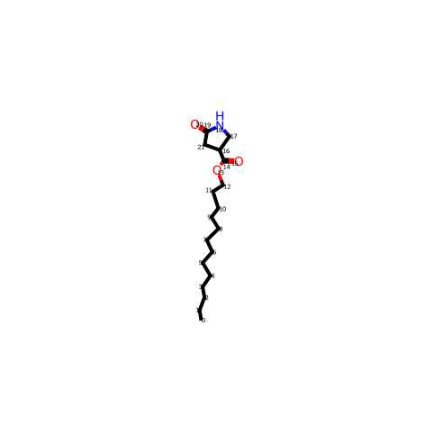 CCCCCCCCCCCCCOC(=O)C1CNC(=O)C1